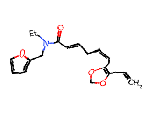 C=CC1=C(/C=C\C/C=C/C(=O)N(CC)Cc2ccco2)OCO1